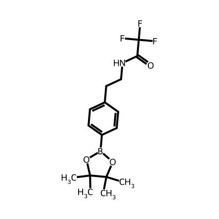 CC1(C)OB(c2ccc(CCNC(=O)C(F)(F)F)cc2)OC1(C)C